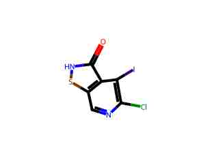 O=c1[nH]sc2cnc(Cl)c(I)c12